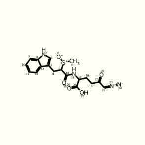 C[S+]([O-])C(Cc1c[nH]c2ccccc12)C(=O)NC(CCC(=O)C=[N+]=[N-])C(=O)O